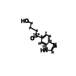 [O-][S+](CCCO)c1ccc2nc[nH]c2c1